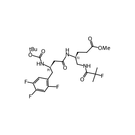 COC(=O)CC[C@@H](CNC(=O)C(C)(C)F)NC(=O)C[C@@H](Cc1cc(F)c(F)cc1F)NC(=O)OC(C)(C)C